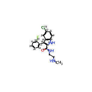 CNCCNC(=O)c1[nH]c2ccc(Cl)cc2c1-c1ccccc1F